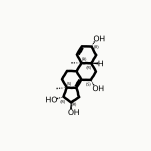 C[C@]12CCC3C(=C1C[C@@H](O)[C@@H]2O)[C@@H](O)C[C@H]1C[C@@H](O)C=C[C@]31C